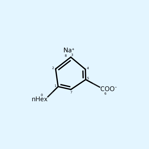 CCCCCCc1cccc(C(=O)[O-])c1.[Na+]